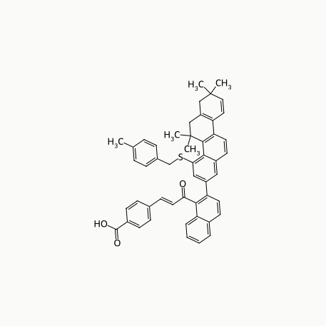 Cc1ccc(CSc2cc(-c3ccc4ccccc4c3C(=O)C=Cc3ccc(C(=O)O)cc3)cc3ccc4c(c23)C(C)(C)CC2=C4C=CC(C)(C)C2)cc1